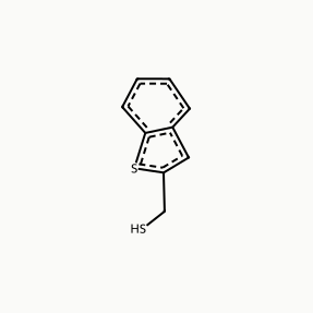 SCc1cc2ccccc2s1